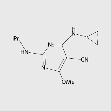 COc1nc(NC(C)C)nc(NC2CC2)c1C#N